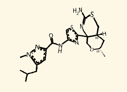 CC(C)Cc1cc(C(=O)Nc2csc(C34CO[C@@H](C)C[C@H]3CSC(N)=N4)n2)nn1C